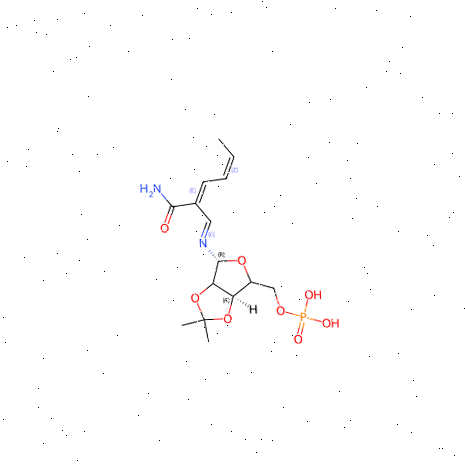 C\C=C/C=C(\C=N\[C@@H]1OC(COP(=O)(O)O)[C@H]2OC(C)(C)OC21)C(N)=O